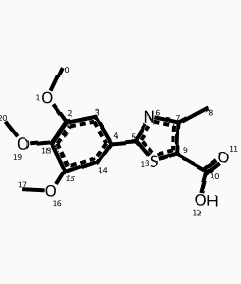 COc1cc(-c2nc(C)c(C(=O)O)s2)cc(OC)c1OC